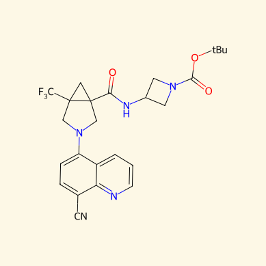 CC(C)(C)OC(=O)N1CC(NC(=O)C23CN(c4ccc(C#N)c5ncccc45)CC2(C(F)(F)F)C3)C1